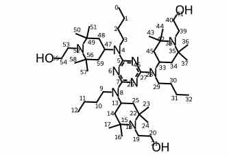 CCCCN(c1nc(N(CCCC)C2CC(C)(C)N(CCO)C(C)(C)C2)nc(N(CCCC)C2CC(C)(C)N(CCO)C(C)(C)C2)n1)C1CC(C)(C)N(CCO)C(C)(C)C1